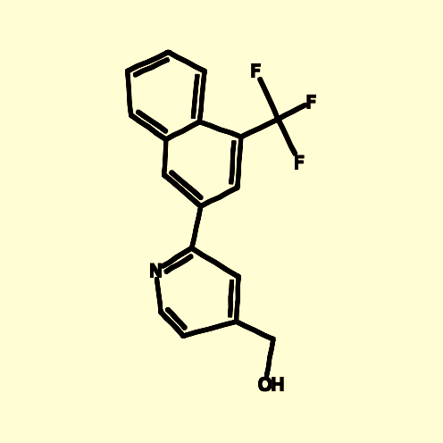 OCc1ccnc(-c2cc(C(F)(F)F)c3ccccc3c2)c1